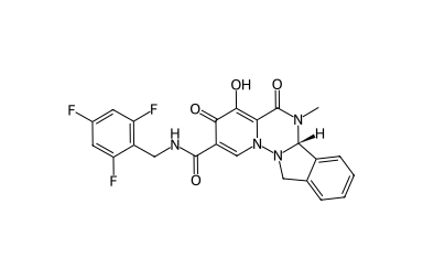 CN1C(=O)c2c(O)c(=O)c(C(=O)NCc3c(F)cc(F)cc3F)cn2N2Cc3ccccc3[C@@H]12